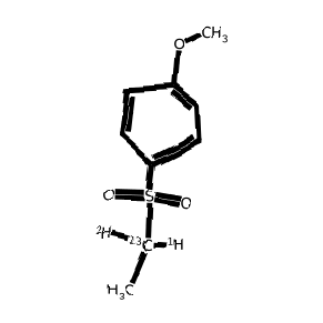 [1H][13C]([2H])(C)S(=O)(=O)c1ccc(OC)cc1